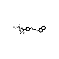 COC(=O)/C(=N\NC(N)=O)c1ccc(OCCOc2ccc3ccccc3c2)cc1